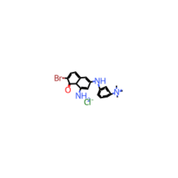 C[N+](C)(C)c1cccc(NC2=CC3=CC=C(Br)C(=O)C3C(N)=C2)c1.[Cl-]